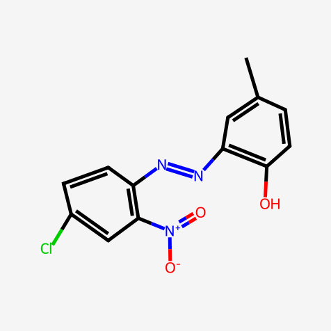 Cc1ccc(O)c(N=Nc2ccc(Cl)cc2[N+](=O)[O-])c1